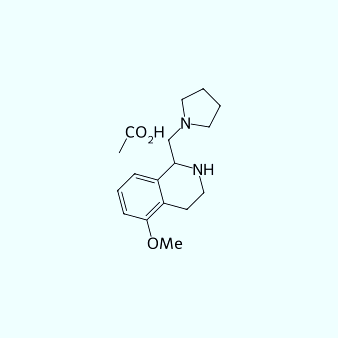 CC(=O)O.COc1cccc2c1CCNC2CN1CCCC1